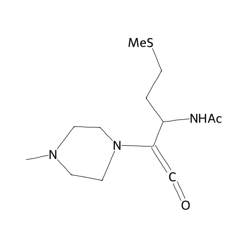 CSCCC(NC(C)=O)C(=C=O)N1CCN(C)CC1